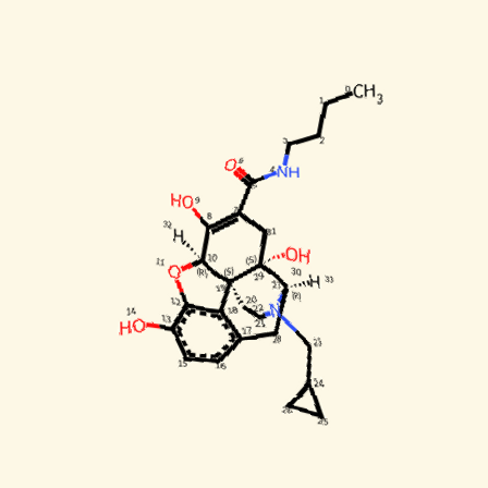 CCCCNC(=O)C1=C(O)[C@@H]2Oc3c(O)ccc4c3[C@@]23CCN(CC2CC2)[C@H](C4)[C@]3(O)C1